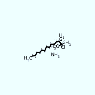 CCCCCCCCCCCCC(C)C(C)(C)Cl.N